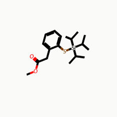 COC(=O)Cc1ccccc1S[Si](C(C)C)(C(C)C)C(C)C